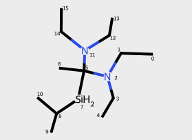 CCN(CC)C(C)([SiH2]C(C)C)N(CC)CC